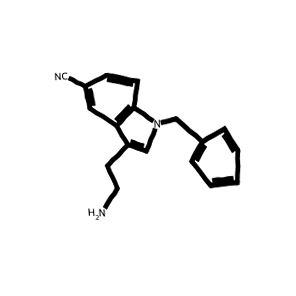 N#Cc1ccc2c(c1)c(CCN)cn2Cc1ccccc1